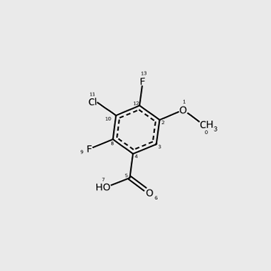 COc1cc(C(=O)O)c(F)c(Cl)c1F